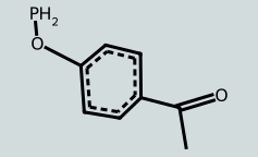 CC(=O)c1ccc(OP)cc1